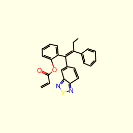 C=CC(=O)Oc1ccccc1/C(=C(\CC)c1ccccc1)c1ccc2nsnc2c1